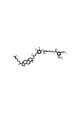 CC(C)=CCCCC(C)C1CCC2C3CC=C4C(C)(C)C(OC(=O)CCc5ccc(OC(=O)/C=C/CCCOC(=O)c6cc(N)cc(N)c6)c(F)c5F)CCC4(C)C3CCC12C